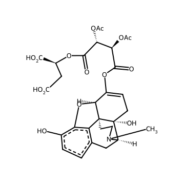 CC(=O)O[C@@H](C(=O)OC1=CC[C@@]2(O)[C@H]3Cc4ccc(O)c5c4[C@@]2(CCN3C)[C@H]1O5)[C@@H](OC(C)=O)C(=O)O[C@@H](CC(=O)O)C(=O)O